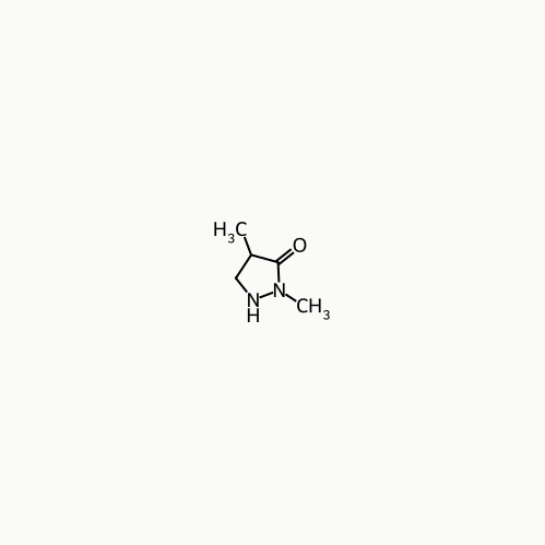 CC1CNN(C)C1=O